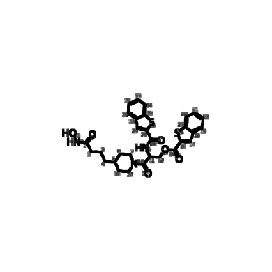 O=C(CCCC1CCN(C(=O)C(COC(=O)c2cc3ccccc3s2)NC(=O)c2cc3ccccc3s2)CC1)NO